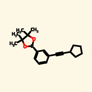 CC1(C)OB(c2cccc(C#CC3CCCC3)c2)OC1(C)C